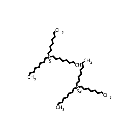 CCCCCCCCP(=S)(CCCCCCCC)CCCCCCCC.CCCCCCCCP(=[Se])(CCCCCCCC)CCCCCCCC